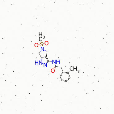 Cc1ccccc1CC(=O)Nc1n[nH]c2c1CN(S(C)(=O)=O)C2